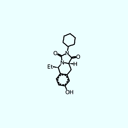 CC[C@@H]1c2ccc(O)cc2C[C@H]2C(=O)N(C3CCCCC3)C(=O)N12